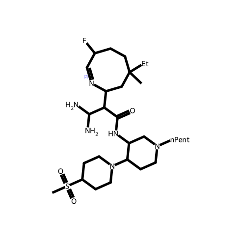 CCCCCN1CCC(N2CCC(S(C)(=O)=O)CC2)C(NC(=O)C(C(N)N)C2CC(C)(CC)CCC(F)/C=N\2)C1